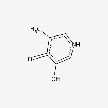 Cc1c[nH]cc(O)c1=O